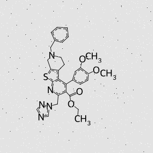 CCOC(=O)c1c(Cn2cncn2)nc2sc3c(c2c1-c1ccc(OC)c(OC)c1)CCN(Cc1ccccc1)C3